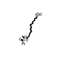 CCCCCCCCCCCCCCCCCCCCCC(=O)OC(C)OC(=O)C(C)C